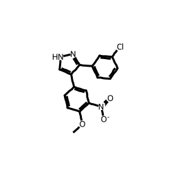 COc1ccc(-c2c[nH]nc2-c2cccc(Cl)c2)cc1[N+](=O)[O-]